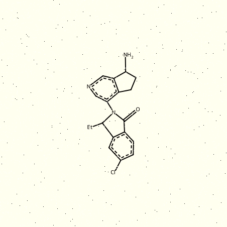 CCC1c2cc(Cl)ccc2C(=O)N1c1cncc2c1CCC2N